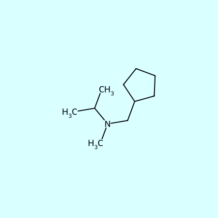 CC(C)N(C)CC1CCCC1